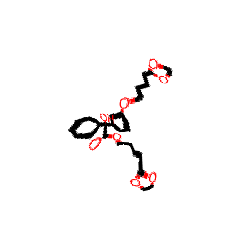 O=C(OCCCCC1OCCO1)[C@@](O)(c1ccccc1)c1cccc(OCCCCC2OCCO2)c1